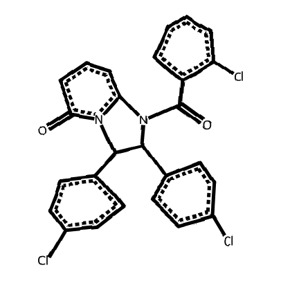 O=C(c1ccccc1Cl)N1c2cccc(=O)n2C(c2ccc(Cl)cc2)C1c1ccc(Cl)cc1